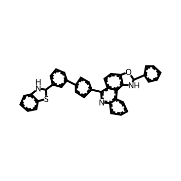 c1ccc(C2Nc3c(ccc4c(-c5ccc(-c6cccc(C7Nc8ccccc8S7)c6)cc5)nc5ccccc5c34)O2)cc1